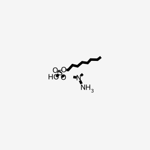 CCCCCCCCOS(=O)(=O)O.CN(C)C.N